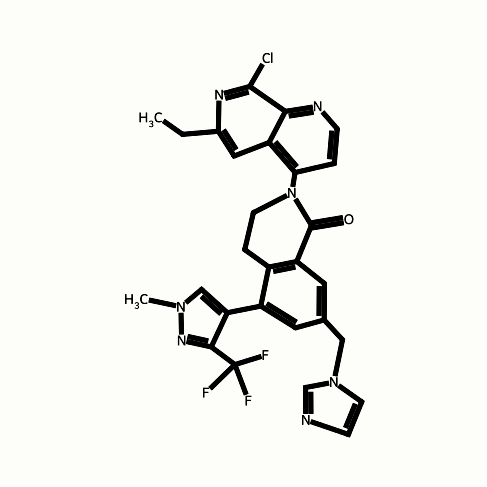 CCc1cc2c(N3CCc4c(cc(Cn5ccnc5)cc4-c4cn(C)nc4C(F)(F)F)C3=O)ccnc2c(Cl)n1